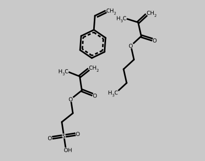 C=C(C)C(=O)OCCCC.C=C(C)C(=O)OCCS(=O)(=O)O.C=Cc1ccccc1